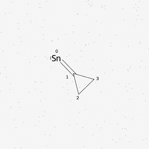 [Sn]=[C]1CC1